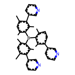 Cc1ccc(-c2cccnc2)c(C)c1B(c1c(C)cc(C)c(-c2cccnc2)c1C)c1c(C)cc(C)c(-c2cccnc2)c1C